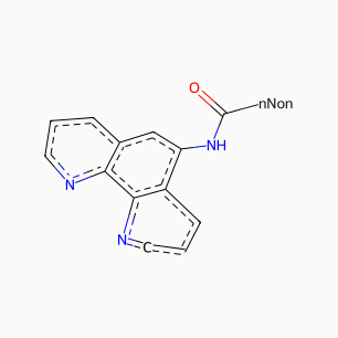 CCCCCCCCCC(=O)Nc1cc2cccnc2c2ncccc12